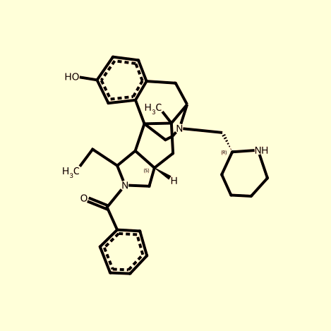 CCC1C2[C@@H](CN1C(=O)c1ccccc1)CC1(C)C3Cc4ccc(O)cc4C21CCN3C[C@H]1CCCCN1